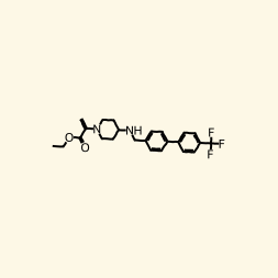 C=C(C(=O)OCC)N1CCC(NCc2ccc(-c3ccc(C(F)(F)F)cc3)cc2)CC1